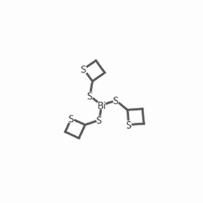 C1CC([S][Bi]([S]C2CCS2)[S]C2CCS2)S1